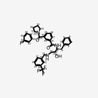 O=C(N[C@@H](Cc1ccccc1)[C@H](O)CNCc1cccc(C(F)(F)F)c1)c1cccc(C(=O)N2CCC[C@H]2c2ccc(F)cc2)c1